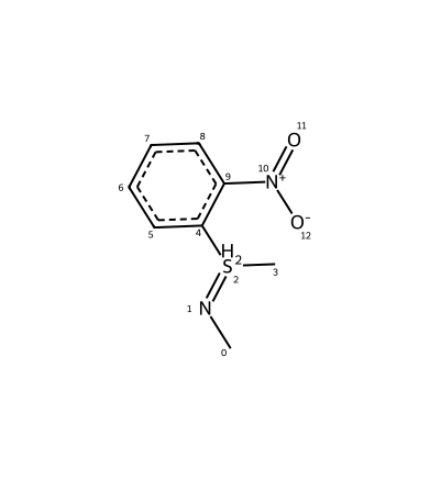 C/N=[SH2](\C)c1ccccc1[N+](=O)[O-]